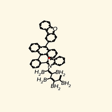 BC(=C)/C(B)=C(B)\C(B)=C(/B)n1c(-c2ccccc2-c2c3ccccc3c(-c3ccc4oc5ccccc5c4c3)c3ccccc23)nc2ccccc21